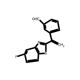 C=C(c1cccc(C=O)c1)c1nc2cc(F)ccc2s1